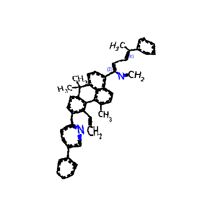 C=Cc1c(-c2ccc(-c3ccccc3)cn2)ccc2c1-c1c(C)ccc3c(/C(=C/C=C(\C)c4ccccc4)N=C)ccc(c13)C2(C)C